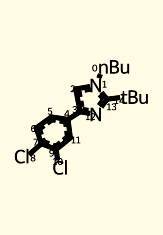 CCCCn1cc(-c2ccc(Cl)c(Cl)c2)nc1C(C)(C)C